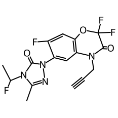 C#CCN1C(=O)C(F)(F)Oc2cc(F)c(-n3nc(C)n(C(C)F)c3=O)cc21